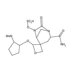 CNC1CCCC1OC1OCC12CC(C(N)=O)N1CC2N(OS(=O)(=O)O)C1=O